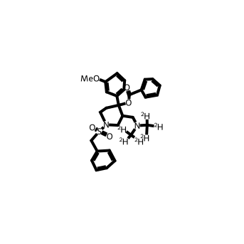 [2H]C([2H])([2H])N(CC1CN(S(=O)(=O)Cc2ccccc2)CCC1(OC(=O)c1ccccc1)c1cccc(OC)c1)C([2H])([2H])[2H]